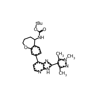 Cc1nn(C)c(C)c1-c1nc2c(-c3ccc4c(c3)OCCCC4NC(=O)OC(C)(C)C)ccnc2[nH]1